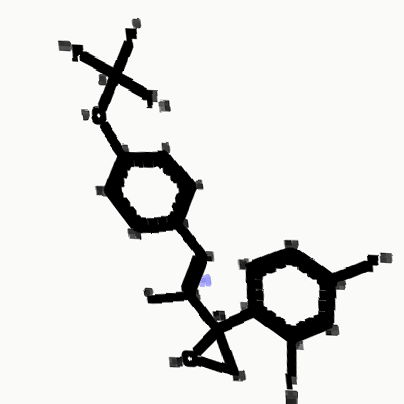 C/C(=C\c1ccc(OC(F)(F)F)cc1)C1(c2ccc(F)cc2F)CO1